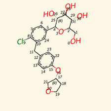 OCC1OC(c2ccc(Cl)c(Cc3ccc(O[C@@H]4CCOC4)cc3)c2)[C@H](O)[C@@H](O)[C@@H]1O